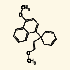 COC=CC1(c2ccc(OC)c3ccccc23)C=CC=CC1